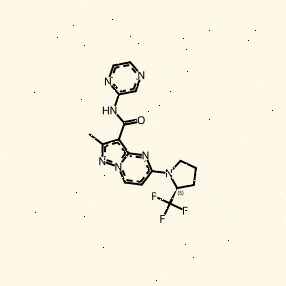 Cc1nn2ccc(N3CCC[C@H]3C(F)(F)F)nc2c1C(=O)Nc1cnccn1